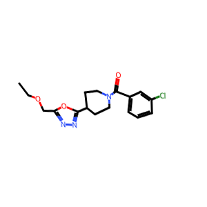 CCOCc1nnc(C2CCN(C(=O)c3cccc(Cl)c3)CC2)o1